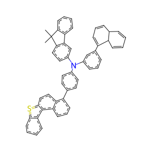 CC1(C)c2ccccc2-c2cc(N(c3ccc(-c4cccc5c4ccc4sc6ccccc6c45)cc3)c3cccc(C4=CC=CC5C=CC=CC45)c3)ccc21